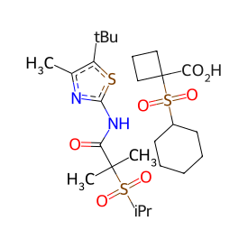 Cc1nc(NC(=O)C(C)(C)S(=O)(=O)C(C)C)sc1C(C)(C)C.O=C(O)C1(S(=O)(=O)C2CCCCC2)CCC1